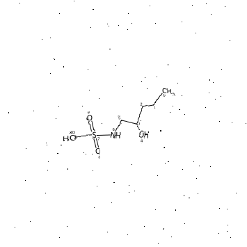 CCCC(O)CNS(=O)(=O)O